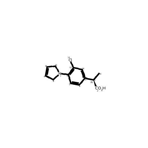 C[C@@H](C(=O)O)c1ccc(N2CC=CC2)c(Cl)c1